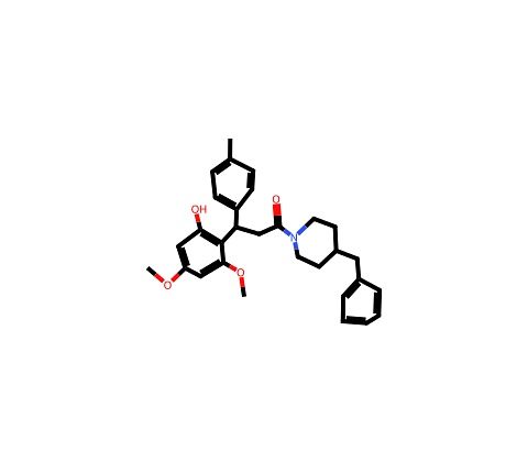 COc1cc(O)c(C(CC(=O)N2CCC(Cc3ccccc3)CC2)c2ccc(C)cc2)c(OC)c1